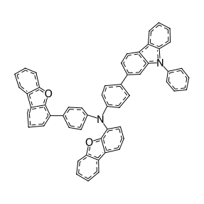 c1ccc(-n2c3ccccc3c3ccc(-c4ccc(N(c5ccc(-c6cccc7c6oc6ccccc67)cc5)c5cccc6c5oc5ccccc56)cc4)cc32)cc1